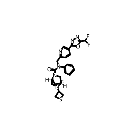 O=C(N(Cc1ccc(-c2nnc(C(F)F)o2)cn1)c1ccccc1)N1C[C@@H]2C[C@H]1CN2C1CSC1